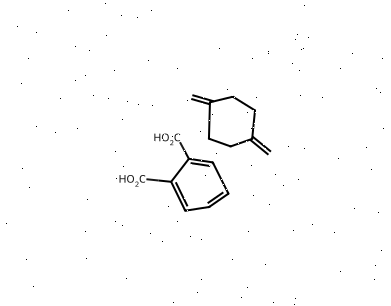 C=C1CCC(=C)CC1.O=C(O)c1ccccc1C(=O)O